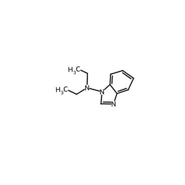 CCN(CC)n1cnc2ccccc21